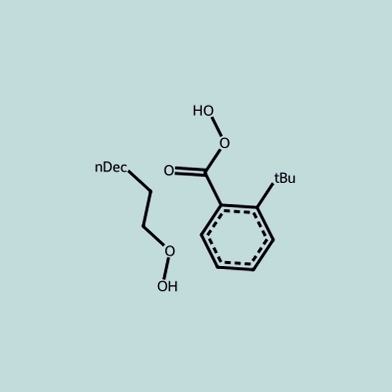 CC(C)(C)c1ccccc1C(=O)OO.CCCCCCCCCCCCOO